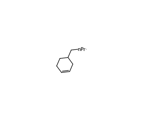 CC[CH]CC1CC=CCC1